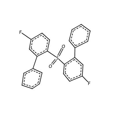 O=S(=O)(c1ccc(F)cc1-c1ccccc1)c1ccc(F)cc1-c1ccccc1